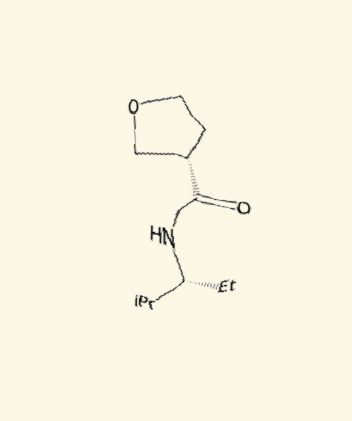 CC[C@@H](NC(=O)[C@H]1CCOC1)C(C)C